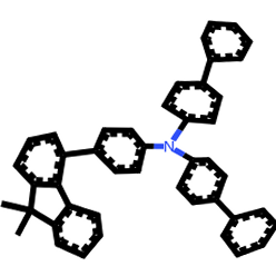 CC1(C)c2ccccc2-c2c(-c3ccc(N(c4ccc(-c5ccccc5)cc4)c4ccc(-c5ccccc5)cc4)cc3)cccc21